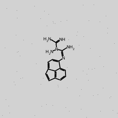 N=C(N)N(N)C(N)=Nc1ccc2c3c(cccc13)C=C2